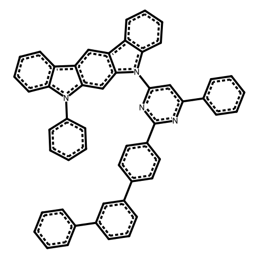 c1ccc(-c2cccc(-c3ccc(-c4nc(-c5ccccc5)cc(-n5c6ccccc6c6cc7c8ccccc8n(-c8ccccc8)c7cc65)n4)cc3)c2)cc1